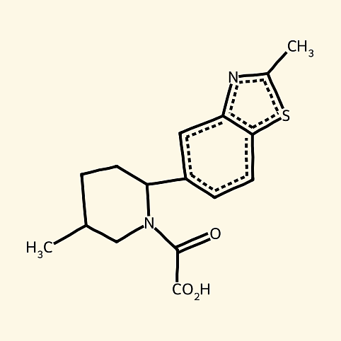 Cc1nc2cc(C3CCC(C)CN3C(=O)C(=O)O)ccc2s1